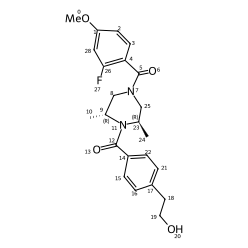 COc1ccc(C(=O)N2C[C@@H](C)N(C(=O)c3ccc(CCO)cc3)[C@H](C)C2)c(F)c1